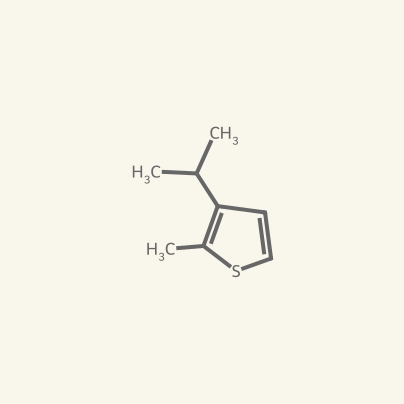 Cc1sccc1C(C)C